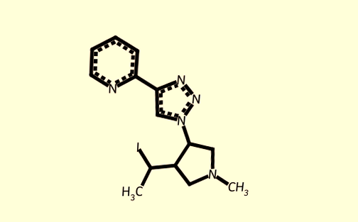 CC(I)C1CN(C)CC1n1cc(-c2ccccn2)nn1